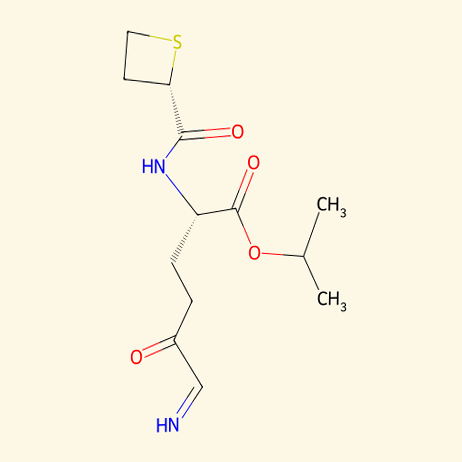 CC(C)OC(=O)[C@H](CCC(=O)C=N)NC(=O)[C@@H]1CCS1